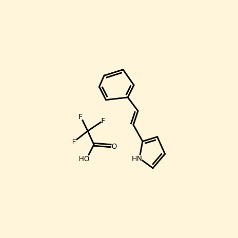 C(=Cc1ccc[nH]1)c1ccccc1.O=C(O)C(F)(F)F